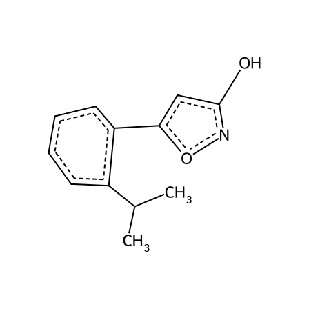 CC(C)c1ccccc1-c1cc(O)no1